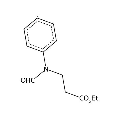 CCOC(=O)CCN(C=O)c1cc[c]cc1